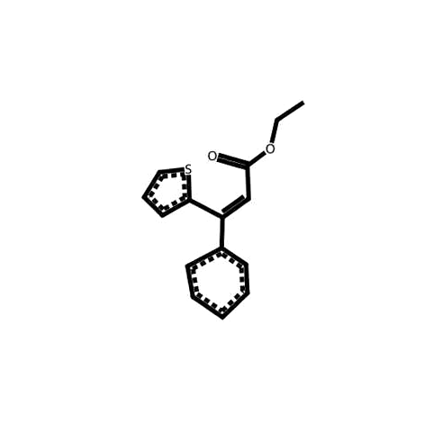 CCOC(=O)C=C(c1ccccc1)c1cccs1